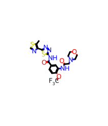 Cc1scnc1-c1nnc(NC(=O)c2ccc(OC(F)(F)F)c(NC(=O)CN3CCOCC3)c2)s1